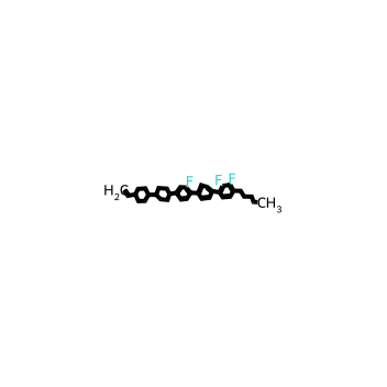 C=CC1CCC(C2CCC(c3ccc(-c4ccc(-c5ccc(CCCCC)c(F)c5F)cc4)c(F)c3)CC2)CC1